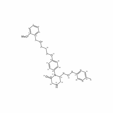 COc1ccccc1COCCCOc1ccc(N2C(=O)CNCC2COCc2ccc(C)cc2)cc1